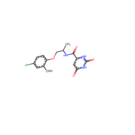 COc1cc(Cl)ccc1OCC(C)NC(=O)c1cc(=O)[nH]c(=O)[nH]1